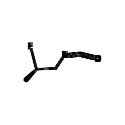 C[C@@H](F)CN=C=O